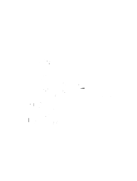 CCO[C@@H]1C[C@@H](C(=O)N(C)C)N(C(=O)OC(C)(C)C)C1